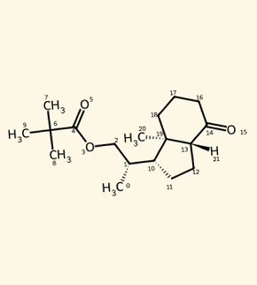 C[C@H](COC(=O)C(C)(C)C)[C@H]1CC[C@H]2C(=O)CCC[C@]12C